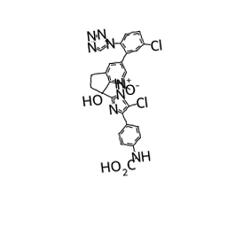 O=C(O)Nc1ccc(-c2nc(C3(O)CCc4cc(-c5cc(Cl)ccc5-n5cnnn5)c[n+]([O-])c43)[nH]c2Cl)cc1